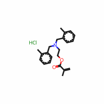 C=C(C)C(=O)OCCN(Cc1ccccc1C)Cc1ccccc1C.Cl